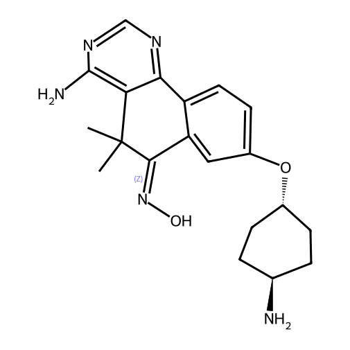 CC1(C)/C(=N/O)c2cc(O[C@H]3CC[C@H](N)CC3)ccc2-c2ncnc(N)c21